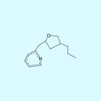 CCCC1COC(Cc2ccccn2)C1